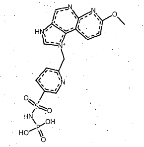 COc1ccc2c(ncc3[nH]c[n+](Cc4ccc(S(=O)(=O)NP(=O)(O)O)cn4)c32)n1